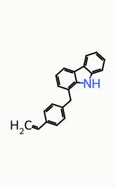 C=Cc1ccc(Cc2cccc3c2[nH]c2ccccc23)cc1